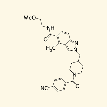 COCCNC(=O)c1ccc2nn(CC3CCN(C(=O)c4ccc(C#N)cc4)CC3)cc2c1C